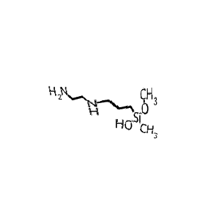 CO[Si](C)(O)CCCNCCN